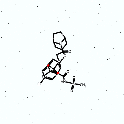 CS(=O)(=O)NC(=O)c1cc(Cl)ccc1OCC(=O)N1C2CCC1CC(Oc1ccc(F)cc1)C2